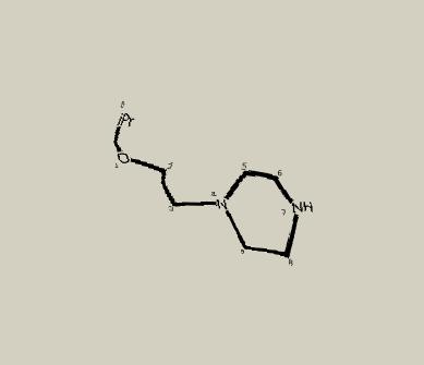 CC(C)OCCN1CCNCC1